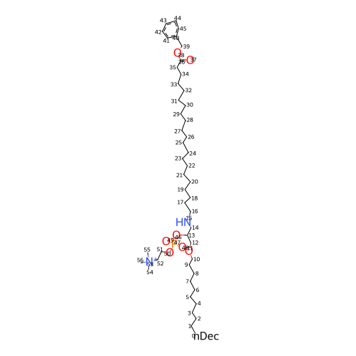 CCCCCCCCCCCCCCCCCCCCOCC(CNCCCCCCCCCCCCCCCCCCCCC(=O)OCc1ccccc1)OP(=O)([O-])OCC[N+](C)(C)C